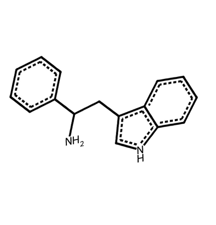 NC(Cc1c[nH]c2ccccc12)c1ccccc1